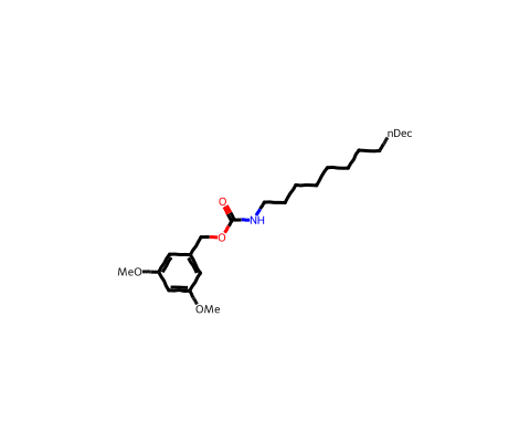 CCCCCCCCCCCCCCCCCCNC(=O)OCc1cc(OC)cc(OC)c1